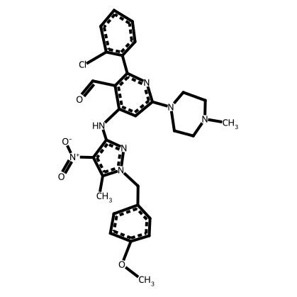 COc1ccc(Cn2nc(Nc3cc(N4CCN(C)CC4)nc(-c4ccccc4Cl)c3C=O)c([N+](=O)[O-])c2C)cc1